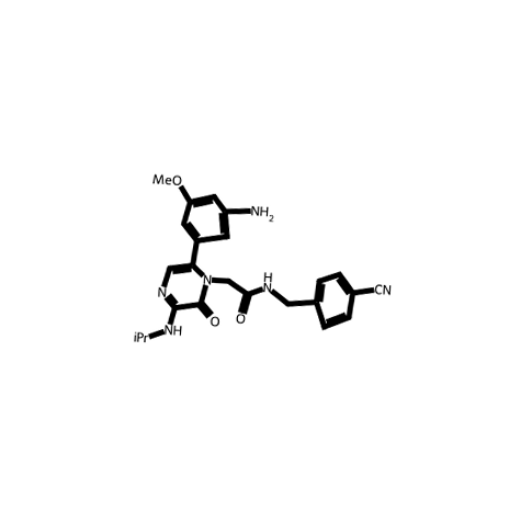 COc1cc(N)cc(-c2cnc(NC(C)C)c(=O)n2CC(=O)NCc2ccc(C#N)cc2)c1